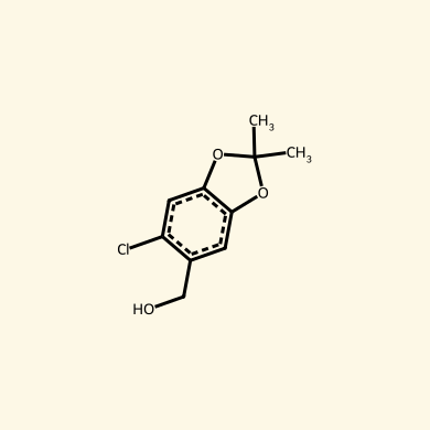 CC1(C)Oc2cc(Cl)c(CO)cc2O1